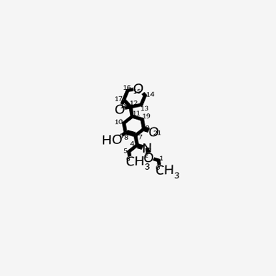 CCON=C(CC)C1=C(O)CC(C23CCOCC2O3)CC1=O